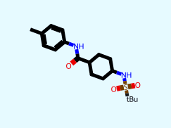 Cc1ccc(NC(=O)C2CCC(NS(=O)(=O)C(C)(C)C)CC2)cc1